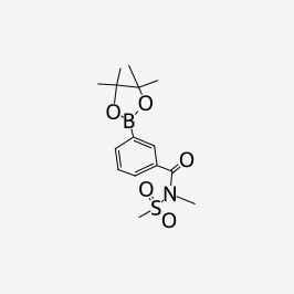 CN(C(=O)c1cccc(B2OC(C)(C)C(C)(C)O2)c1)S(C)(=O)=O